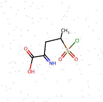 CC(CC(=N)C(=O)O)S(=O)(=O)Cl